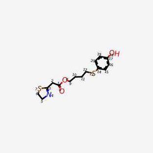 O=C(CC1=NCCS1)OCCCCSc1ccc(O)cc1